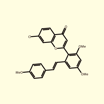 COc1ccc(C=Cc2cc(OC)cc(OC)c2-c2cc(=O)c3ccc(Cl)cc3o2)cc1